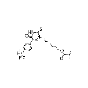 C=C(C)C(=O)OCCCCCCn1cc(-c2ccc(S(F)(F)(F)(F)F)cc2)c(=O)[nH]c1=S